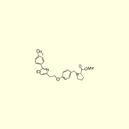 COC(=O)C1CCCN1Cc1ccc(OCCc2coc(-c3ccc(C)cc3)n2)cc1